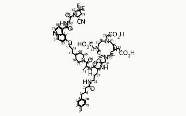 Cc1ccc(CCCC(=O)NCCC[C@H](NC(=O)CN2CCN(CC(=O)O)CCN(CC(=O)O)CCN(CC(=O)O)CC2)C(=O)N[C@@H](C)C(=O)N2CCC(CCCOc3ccc4nccc(C(=O)NCC(=O)N5CC(F)(F)C[C@@H]5C#N)c4c3)CC2)cc1